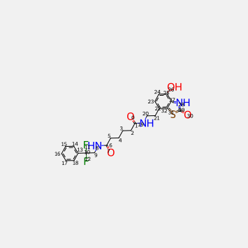 O=C(CCCCC(=O)NCC(F)(F)c1ccccc1)NCCc1ccc(O)c2[nH]c(=O)sc12